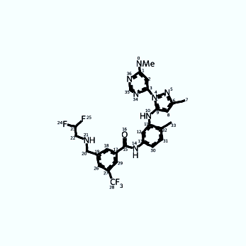 CNc1cc(-n2nc(C)cc2Nc2cc(NC(=O)c3cc(CNCC(F)F)cc(C(F)(F)F)c3)ccc2C)ncn1